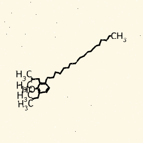 CCCCCCCCCCCCCCCCCCc1ccc(CC(C)C)c(O)c1CC(C)C